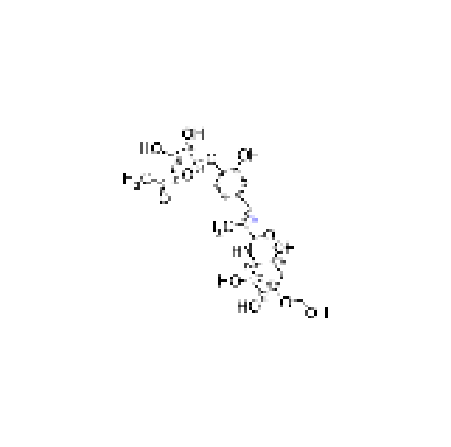 CC(=O)[C@H]1O[C@@H](Oc2ccc(/C=C(\C)C(=O)N[C@@H]3[C@H](O)[C@@H](O)[C@@H](OCO)C[C@@H]3O)cc2O)[C@@H](O)[C@@H]1O